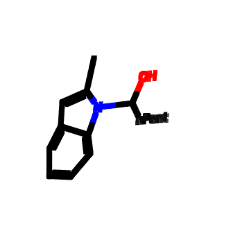 CCCCCC(O)n1c(C)cc2ccccc21